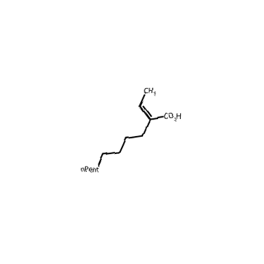 CC=C(CCCCCCCCC)C(=O)O